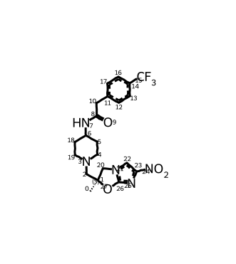 C[C@]1(CN2CCC(NC(=O)Cc3ccc(C(F)(F)F)cc3)CC2)Cn2cc([N+](=O)[O-])nc2O1